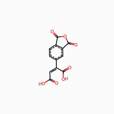 O=C(O)/C=C(\C(=O)O)c1ccc2c(c1)C(=O)OC2=O